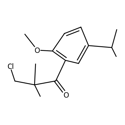 COc1ccc(C(C)C)cc1C(=O)C(C)(C)CCl